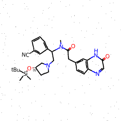 CN(C(=O)Cc1ccc2ncc(=O)[nH]c2c1)C(CN1CC[C@H](O[Si](C)(C)C(C)(C)C)C1)c1cccc(C#N)c1